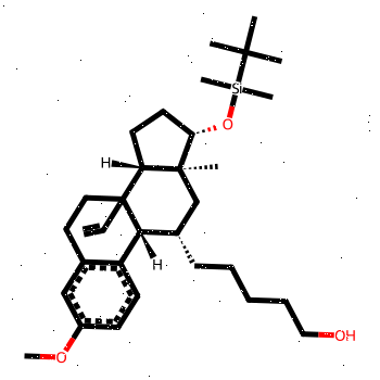 C=CC12CCc3cc(OC)ccc3[C@H]1[C@@H](CCCCCO)C[C@]1(C)[C@@H](O[Si](C)(C)C(C)(C)C)CC[C@@H]21